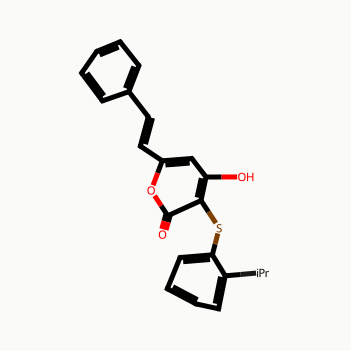 CC(C)c1ccccc1Sc1c(O)cc(C=Cc2ccccc2)oc1=O